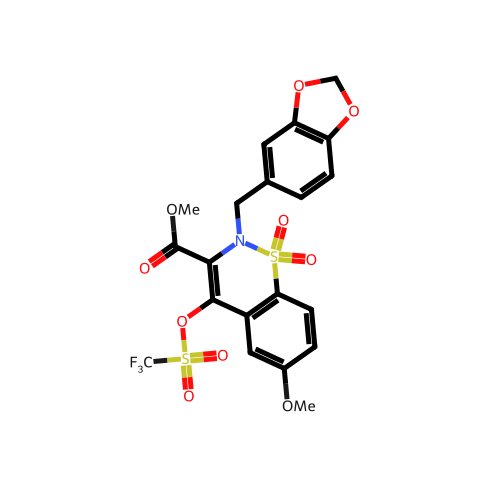 COC(=O)C1=C(OS(=O)(=O)C(F)(F)F)c2cc(OC)ccc2S(=O)(=O)N1Cc1ccc2c(c1)OCO2